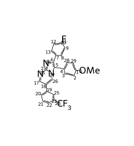 COc1ccc(-c2c(-c3ccc(F)cc3)nc3ncc(-c4cccc(C(F)(F)F)c4)cn23)cc1